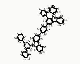 c1ccc(-c2cc(-c3ccccc3)cc(-n3c4ccccc4c4cc(-c5ccc(-c6cc7c8c(c6)c6ccccc6n8-c6ccccc6-c6ccccc6-7)cc5)ccc43)c2)cc1